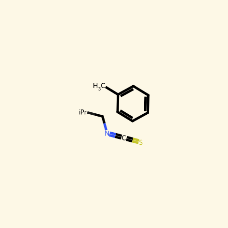 CC(C)CN=C=S.Cc1ccccc1